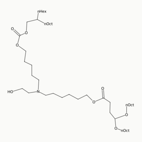 CCCCCCCCOC(CCC(=O)OCCCCCCN(CCO)CCCCCOC(=O)OCC(CCCCCC)CCCCCCCC)OCCCCCCCC